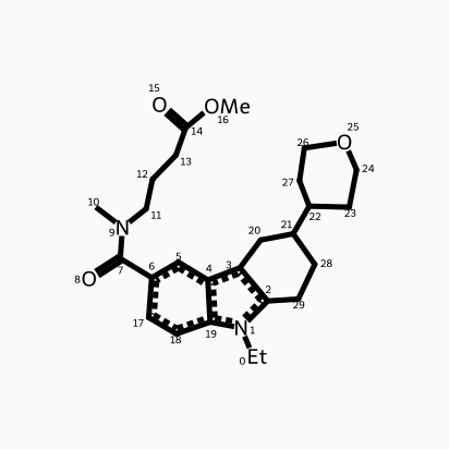 CCn1c2c(c3cc(C(=O)N(C)CCCC(=O)OC)ccc31)CC(C1CCOCC1)CC2